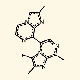 Cc1cn2ccnc(-c3cnc(C)c4nc(C)c(I)n34)c2n1